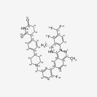 Cc1nnc(N[C@H](C)c2cccc(C(F)F)c2F)c2cc(-c3cc(CN4CCC(c5ccc(C6CCC(=O)NC6=O)cc5)CC4)ccc3F)ncc12